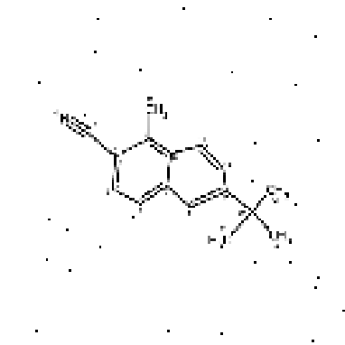 Cc1c(C#N)ccc2cc(C(C)(C)C)ccc12